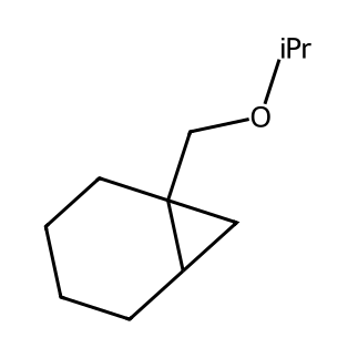 CC(C)OCC12CCCCC1C2